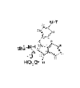 CC(C)c1ccc(Cn2c(C(=O)NC(C)(C)C)c(CC(=O)O)c3ccccc32)cc1